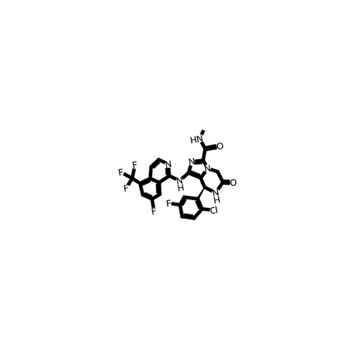 CNC(=O)c1nc(Nc2nccc3c(C(F)(F)F)cc(F)cc23)c2n1CC(=O)N[C@H]2c1cc(F)ccc1Cl